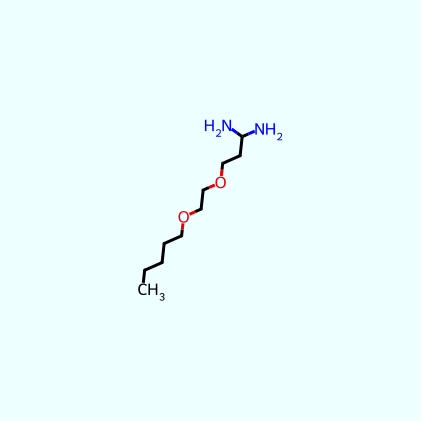 CCCCCOCCOCCC(N)N